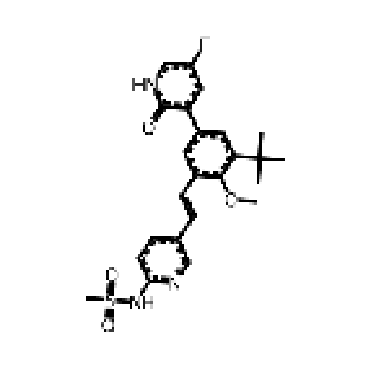 COc1c(/C=C/c2ccc(NS(C)(=O)=O)nc2)cc(-c2cc(F)c[nH]c2=O)cc1C(C)(C)C